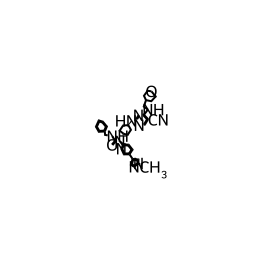 Cn1cc(-c2ccc(N(C(=O)NCc3ccccc3)[C@H]3CC[C@H](Nc4ncc(C#N)c(NCC5CCOCC5)n4)CC3)nc2)cn1